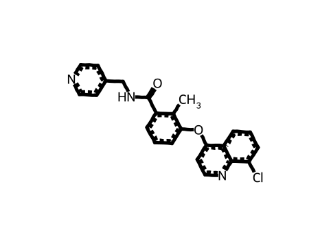 Cc1c(Oc2ccnc3c(Cl)cccc23)cccc1C(=O)NCc1ccncc1